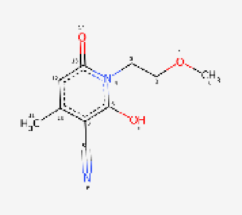 COCCn1c(O)c(C#N)c(C)cc1=O